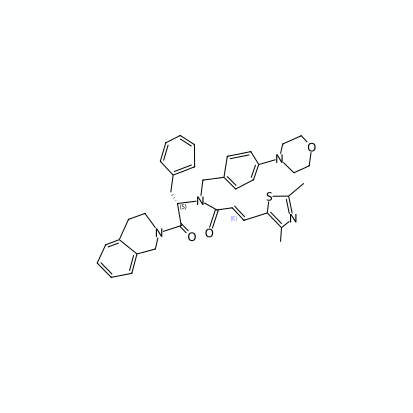 Cc1nc(C)c(/C=C/C(=O)N(Cc2ccc(N3CCOCC3)cc2)[C@@H](Cc2ccccc2)C(=O)N2CCc3ccccc3C2)s1